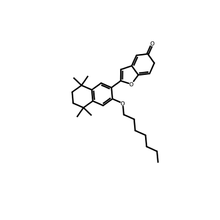 CCCCCCCOc1cc2c(cc1-c1cc3c(o1)=CCC(=O)C=3)C(C)(C)CCC2(C)C